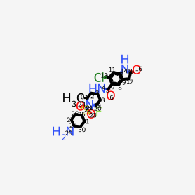 C[C@H]1C[C@@H](NC(=O)c2cc3c(cc2Cl)NC(=O)C3)C[C@@H](F)N1S(=O)(=O)[C@H]1CC[C@H](N)CC1